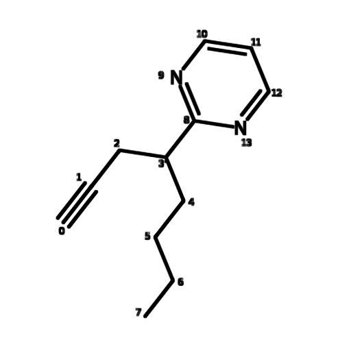 C#CC[C](CCCC)c1ncccn1